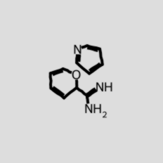 N=C(N)C1C=CC=CO1.c1ccncc1